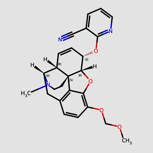 COCOc1ccc2c3c1O[C@H]1[C@@H](Oc4ncccc4C#N)C=C[C@H]4[C@@H](C2)N(C)CC[C@@]341